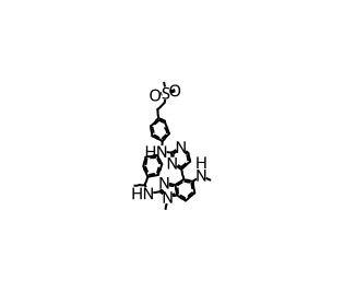 CNc1ccc2c(nc(NC(C)c3ccccc3)n2C)c1-c1ccnc(Nc2ccc(CCS(C)(=O)=O)cc2)n1